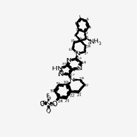 N[C@@H]1c2ccccc2CC12CCN(c1cnc3c(N4CCCc5cc(OS(=O)(=O)F)ccc54)n[nH]c3n1)CC2